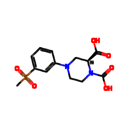 CS(=O)(=O)c1cccc(N2CCN(C(=O)O)[C@H](C(=O)O)C2)c1